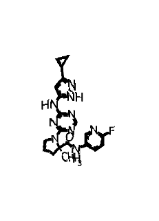 C[C@@]1(C(=O)Nc2ccc(F)nc2)CCCN1c1ncnc(Nc2cc(C3CC3)n[nH]2)n1